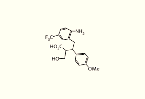 COc1ccc(C(Cc2cc(C(F)(F)F)ccc2N)C(CO)C(=O)O)cc1